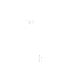 CCCC1(CCC(C)=N)CNC(C)c2ccccc2C1